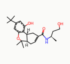 C[C@H](CCO)NC(=O)C1=CC[C@@H]2[C@@H](C1)c1c(O)cc(C(C)(C)C)cc1OC2(C)C